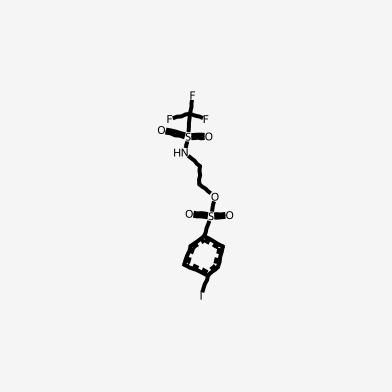 O=S(=O)(OCCNS(=O)(=O)C(F)(F)F)c1ccc(I)cc1